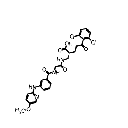 COc1ccc(Nc2cccc(C(=O)NCC(=O)NC[C@H](CCC(=O)c3c(Cl)cccc3Cl)C(=O)O)c2)nc1